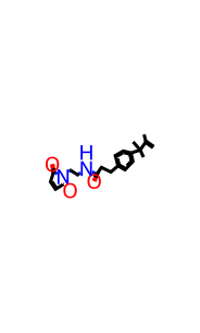 C=C(C)C(C)(C)c1ccc(CCC(=O)NCCN2C(=O)C=CC2=O)cc1